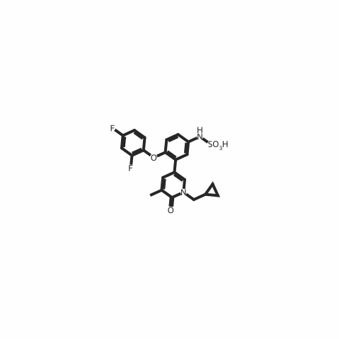 Cc1cc(-c2cc(NS(=O)(=O)O)ccc2Oc2ccc(F)cc2F)cn(CC2CC2)c1=O